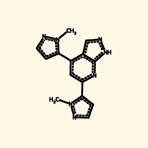 Cn1nccc1-c1cc(-c2ccnn2C)c2cn[nH]c2n1